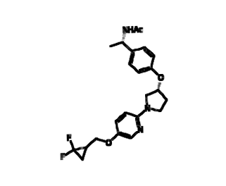 CC(=O)N[C@@H](C)c1ccc(O[C@@H]2CCN(c3ccc(OCC4CC4(F)F)cn3)C2)cc1